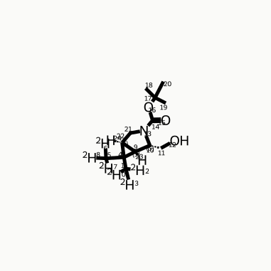 [2H]C([2H])([2H])C1(C([2H])([2H])[2H])[C@H]2[C@@H](CO)N(C(=O)OC(C)(C)C)C[C@@H]21